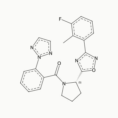 Cc1c(F)cccc1-c1noc([C@@H]2CCCN2C(=O)c2ccccc2-n2nccn2)n1